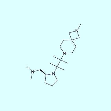 CN(C)C[C@@H]1CCCN1C(C)(C)C(C)(C)N1CCC2(CC1)CN(C)C2